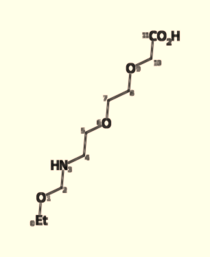 CCOCNCCOCCOCC(=O)O